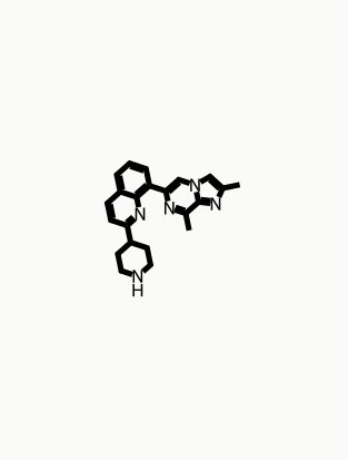 Cc1cn2cc(-c3cccc4ccc(C5CCNCC5)nc34)nc(C)c2n1